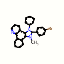 CN1c2c(c3cccnc3c3ccccc23)N(c2ccccc2)C1c1ccc(Br)cc1